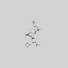 CC(C)(C)NC(=O)N[C@H](C(=O)N1CC2C([C@H]1C(=O)N[C@@H](CC1CCC1)C(=O)C(N)=O)C2(C)C)C(C)(C)C